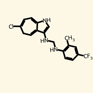 Cc1cc(C(F)(F)F)ccc1NCNc1c[nH]c2c1=CCC(Cl)=CC=2